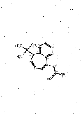 CC(C)(C)N1C=CC=C(OC(N)=O)c2ccccc21